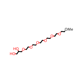 COCCOCCOCCOCCOCCOCCOCC(O)CO